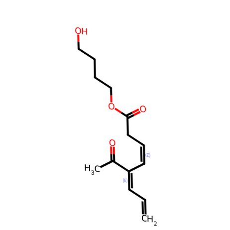 C=C/C=C(\C=C/CC(=O)OCCCCO)C(C)=O